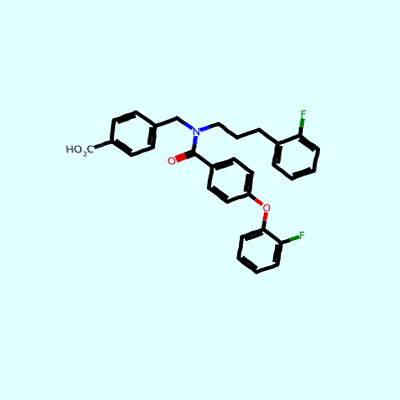 O=C(O)c1ccc(CN(CCCc2ccccc2F)C(=O)c2ccc(Oc3ccccc3F)cc2)cc1